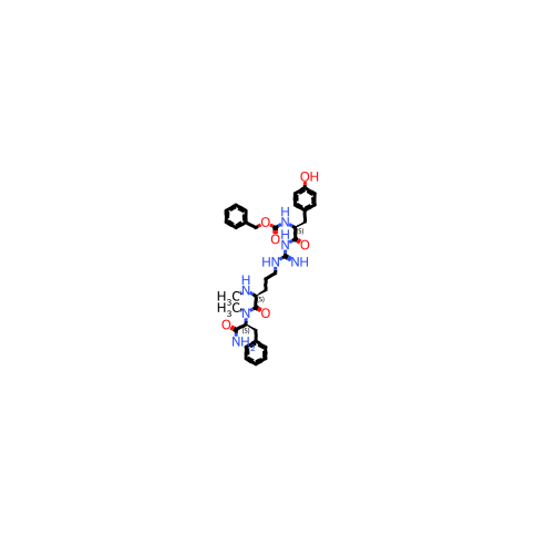 CN[C@@H](CCCNC(=N)NC(=O)[C@H](Cc1ccc(O)cc1)NC(=O)OCc1ccccc1)C(=O)N(C)[C@@H](Cc1ccccc1)C(N)=O